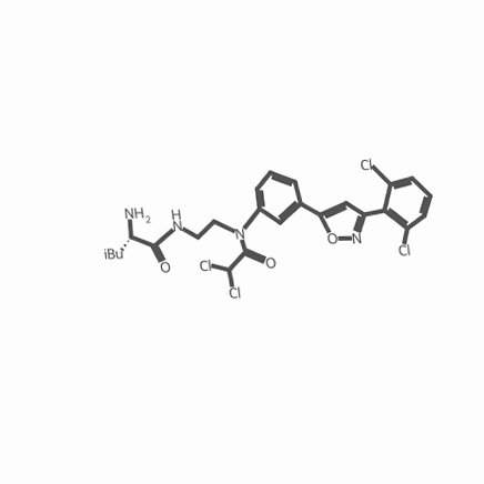 CCC(C)[C@H](N)C(=O)NCCN(C(=O)C(Cl)Cl)c1cccc(-c2cc(-c3c(Cl)cccc3Cl)no2)c1